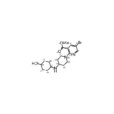 COC(=O)c1cc(Br)cnc1N1CCC(NC2CCC(O)CC2)CC1